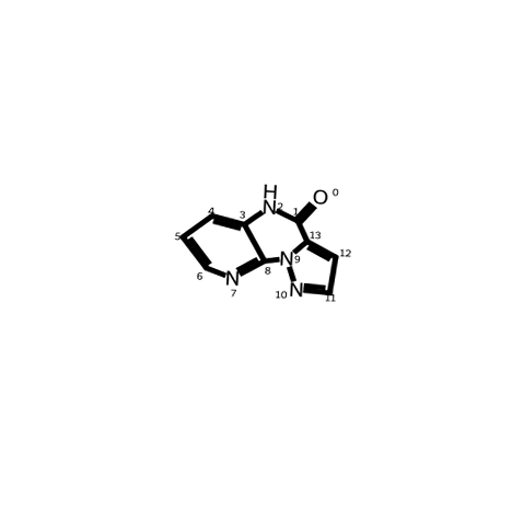 O=c1[nH]c2cccnc2n2nccc12